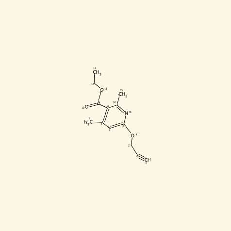 C#CCOc1cc(C)c(C(=O)OCC)c(C)n1